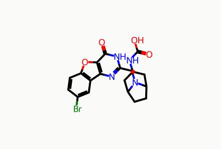 O=C(O)NC1CC2CCC(C1)N2Cc1nc2c(oc3ccc(Br)cc32)c(=O)[nH]1